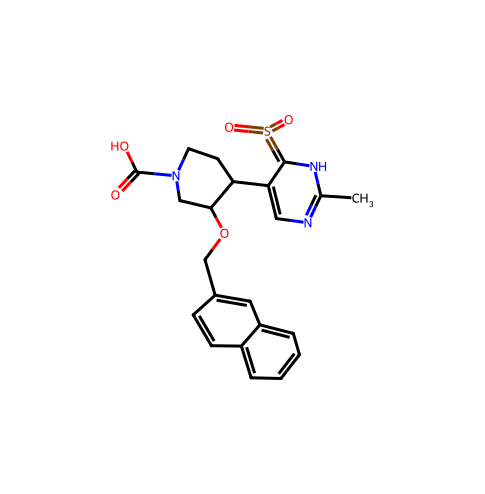 Cc1ncc(C2CCN(C(=O)O)CC2OCc2ccc3ccccc3c2)c(=S(=O)=O)[nH]1